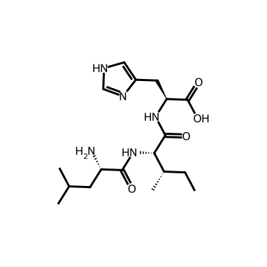 CC[C@H](C)[C@H](NC(=O)[C@@H](N)CC(C)C)C(=O)N[C@@H](Cc1c[nH]cn1)C(=O)O